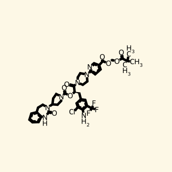 CC(C)(C)C(=O)OCOC(=O)c1ccc(N2CCN(C(=O)[C@@H](Cc3cc(Cl)c(N)c(C(F)(F)F)c3)OC(=O)N3CCC(N4CCc5ccccc5NC4=O)CC3)CC2)nc1